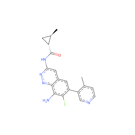 Cc1ccncc1-c1cc2cc(NC(=O)[C@@H]3C[C@H]3C)nnc2c(N)c1F